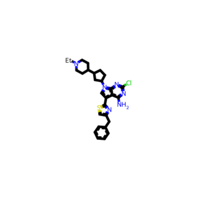 CCN1CCC(C2CCC(n3cc(-c4nc(Cc5ccccc5)cs4)c4c(N)nc(Cl)nc43)C2)CC1